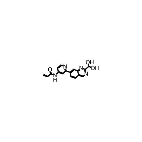 C=CC(=O)Nc1ccnc(-c2ccc3cnc(C(O)O)nc3c2)c1